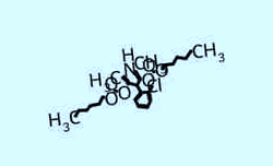 CCCCCCOC(=O)OC1=C(C)NC(C)=C(OC(=O)OCCCCCC)C1c1ccccc1Cl